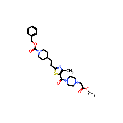 COC(=O)CN1CCN(C(=O)c2sc(CCC3CCN(C(=O)OCc4ccccc4)CC3)nc2C)CC1